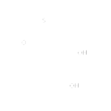 OCC(O)C1COCSC1